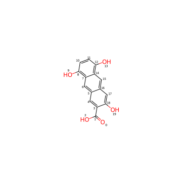 O=C(O)c1cc2cc3c(O)ccc(O)c3cc2cc1O